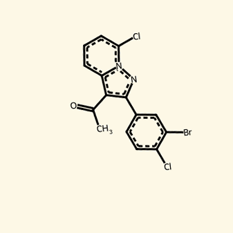 CC(=O)c1c(-c2ccc(Cl)c(Br)c2)nn2c(Cl)cccc12